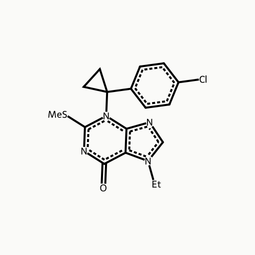 CCn1cnc2c1c(=O)nc(SC)n2C1(c2ccc(Cl)cc2)CC1